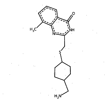 Cc1cccc2c(=O)[nH]c(CSC3CCC(CN)CC3)nc12